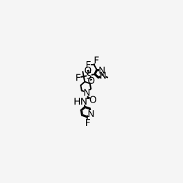 Cn1cc(S(=O)(=O)C(C)(F)C2CCN(C(=O)Nc3ccc(F)nc3)CC2)c(C(F)F)n1